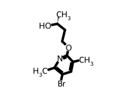 Cc1cc(Br)c(C)nc1OCC[C@@H](C)O